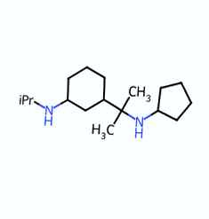 CC(C)NC1CCCC(C(C)(C)NC2CCCC2)C1